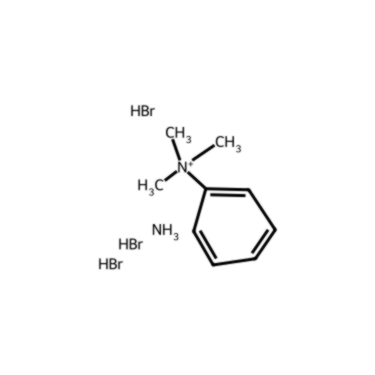 Br.Br.Br.C[N+](C)(C)c1ccccc1.N